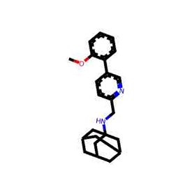 COc1ccccc1-c1ccc(CNC23CC4CC(CC(C4)C2)C3)nc1